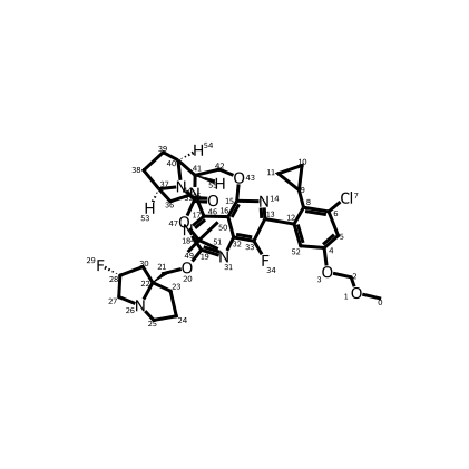 COCOc1cc(Cl)c(C2CC2)c(-c2nc3c4c(nc(OC[C@@]56CCCN5C[C@H](F)C6)nc4c2F)N2C[C@H]4CC[C@@H]([C@@H]2CO3)N4C(=O)OC(C)(C)C)c1